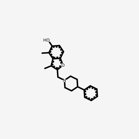 Cc1c(O)ccc2oc(CN3CCC(c4ccccc4)CC3)c(C)c12